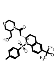 Cc1ccc(S(=O)(=O)N2c3ccc(C(O)(C(F)(F)F)C(F)(F)F)cc3CC[C@H]2CC(=O)N2CCOCC2CO)cc1